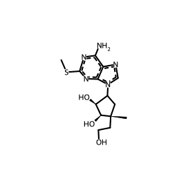 CSc1nc(N)c2ncn(C3C[C@](C)(CCO)[C@@H](O)[C@H]3O)c2n1